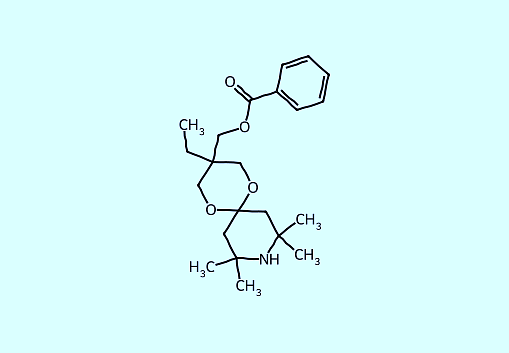 CCC1(COC(=O)c2ccccc2)COC2(CC(C)(C)NC(C)(C)C2)OC1